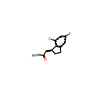 CNC(=O)/C=C1\CCc2cc(F)cc(F)c21